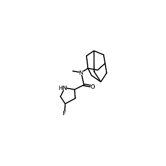 CN(C(=O)C1CC(F)CN1)C12CC3CC(CC(C3)C1)C2